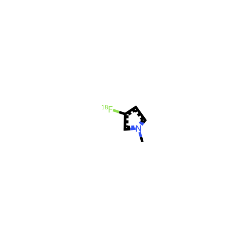 Cn1ccc([18F])c1